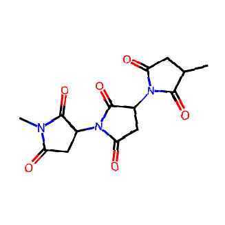 CC1CC(=O)N(C2CC(=O)N(C3CC(=O)N(C)C3=O)C2=O)C1=O